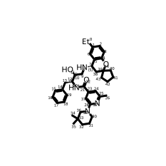 CCc1ccc2c(c1)[C@@H](NC[C@H](O)[C@H](Cc1ccccc1)NC(=O)c1cc(C)nc(N3CCCC(C)(C)C3)c1)CC1(CCCC1)O2